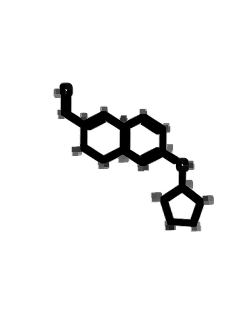 O=CC1=Cc2ccc(OC3CCCC3)cc2CC1